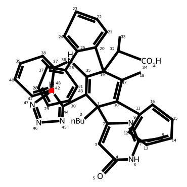 CCCCC1(c2cc(=O)[nH]c(C)n2)C(c2ccccc2)=C(C)C(c2ccccc2-c2ccccc2)(C(C)C(=O)O)C(Nc2ccccc2)=C1c1nnn[nH]1